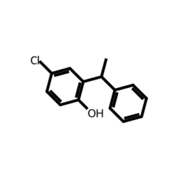 CC(c1ccccc1)c1cc(Cl)ccc1O